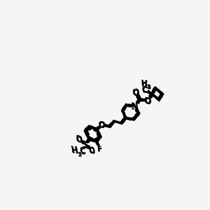 CC1(OC(=O)N2CCC(CCCOc3ccc(S(C)(=O)=O)c(F)c3)CC2)CCC1